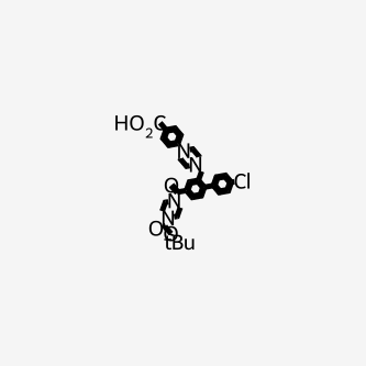 CC(C)(C)OC(=O)N1CCN(C(=O)c2ccc(-c3ccc(Cl)cc3)c(CN3CCN(c4ccc(C(=O)O)cc4)CC3)c2)CC1